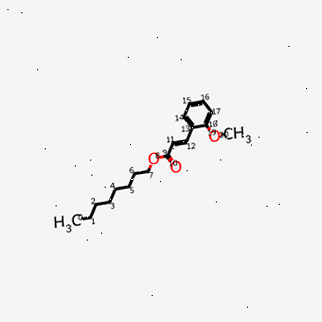 CCCCCCCCOC(=O)/C=C/c1ccccc1OC